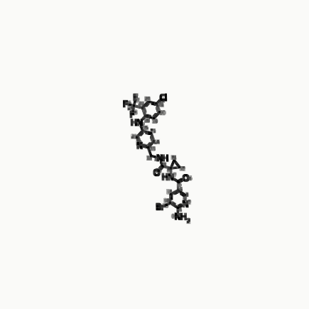 Nc1ncc(C(=O)NC2(C(=O)NCc3ccc(Nc4ccc(Cl)cc4C(F)(F)F)cn3)CC2)cc1Br